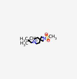 CC(C)(C)CN1CCC2(CC1)CN(S(C)(=O)=O)C2